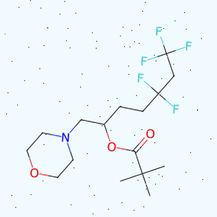 CC(C)(C)C(=O)OC(CCC(F)(F)CC(F)(F)F)CN1CCOCC1